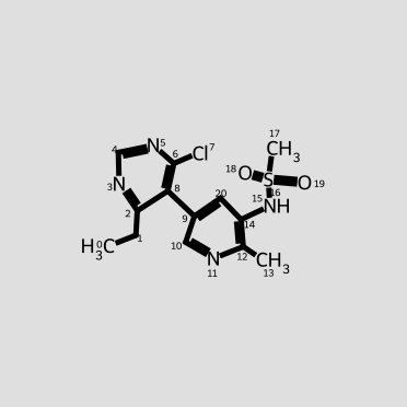 CCc1ncnc(Cl)c1-c1cnc(C)c(NS(C)(=O)=O)c1